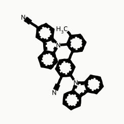 Cc1cccc(-c2ccc(C#N)c(-n3c4ccccc4c4ccccc43)c2)c1-n1c2ccccc2c2cc(C#N)ccc21